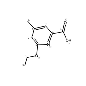 CCOc1nc(C)cc(C(=O)O)n1